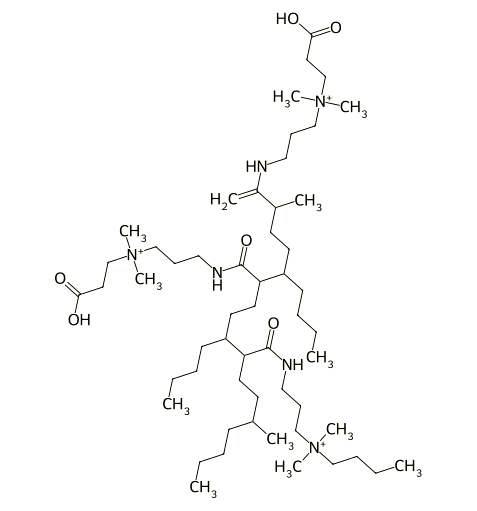 C=C(NCCC[N+](C)(C)CCC(=O)O)C(C)CCC(CCCC)C(CCC(CCCC)C(CCC(C)CCCC)C(=O)NCCC[N+](C)(C)CCCC)C(=O)NCCC[N+](C)(C)CCC(=O)O